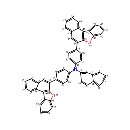 c1ccc2cc(N(c3ccc(-c4cc5ccccc5c5c4oc4ccccc45)cc3)c3ccc(-c4cc5ccccc5c5c4oc4ccccc45)cc3)ccc2c1